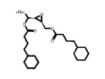 CCCCCCCCCCC(OC(=O)CCCC1CCCCC1)[C@H]1O[C@H]1COC(=O)CCCC1CCCCC1